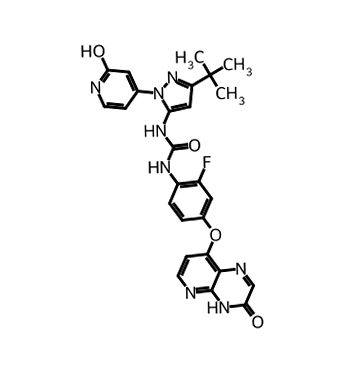 CC(C)(C)c1cc(NC(=O)Nc2ccc(Oc3ccnc4[nH]c(=O)cnc34)cc2F)n(-c2ccnc(O)c2)n1